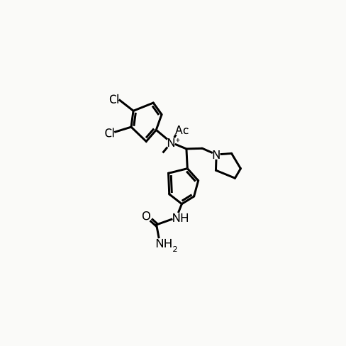 CC(=O)[N+](C)(c1ccc(Cl)c(Cl)c1)C(CN1CCCC1)c1ccc(NC(N)=O)cc1